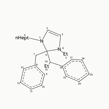 CCCCCCCN1C=CN(CC)C1(Cc1ccccc1)C(CC)c1ccccc1